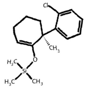 C[C@@]1(c2ccccc2Cl)CCCC=C1O[Si](C)(C)C